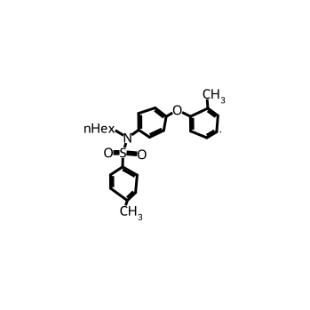 CCCCCCN(c1ccc(Oc2cc[c]cc2C)cc1)S(=O)(=O)c1ccc(C)cc1